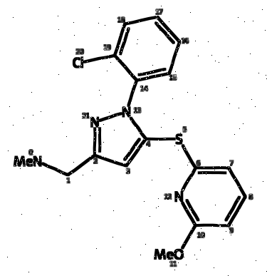 CNCc1cc(Sc2cccc(OC)n2)n(-c2ccccc2Cl)n1